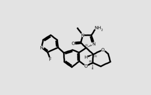 CN1C(=O)[C@]2(N=C1N)c1cc(-c3cccnc3F)ccc1O[C@]1(C)CCCO[C@H]12